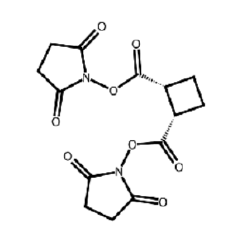 O=C(ON1C(=O)CCC1=O)[C@H]1CC[C@H]1C(=O)ON1C(=O)CCC1=O